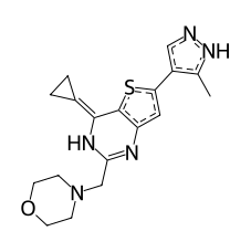 Cc1[nH]ncc1-c1cc2c(s1)C(=C1CC1)NC(CN1CCOCC1)=N2